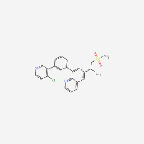 CC(CS(C)(=O)=O)c1cc(-c2cccc(-c3cnccc3Cl)c2)c2ncccc2c1